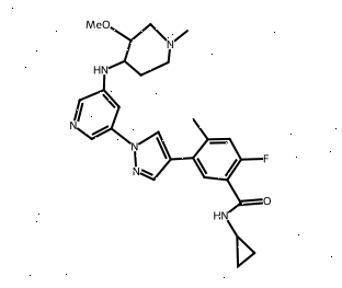 COC1CN(C)CCC1Nc1cncc(-n2cc(-c3cc(C(=O)NC4CC4)c(F)cc3C)cn2)c1